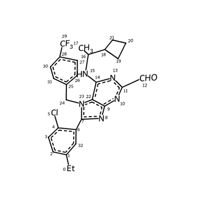 CCc1ccc(Cl)c(-c2nc3nc(C=O)nc(NC(C)C4CCC4)c3n2Cc2ccc(C(F)(F)F)cc2)c1